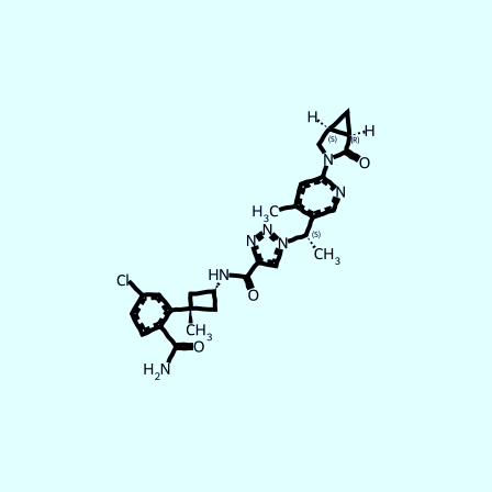 Cc1cc(N2C[C@H]3C[C@H]3C2=O)ncc1[C@H](C)n1cc(C(=O)N[C@H]2C[C@@](C)(c3cc(Cl)ccc3C(N)=O)C2)nn1